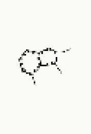 Cc1cccc2cn(C)c(C)c12